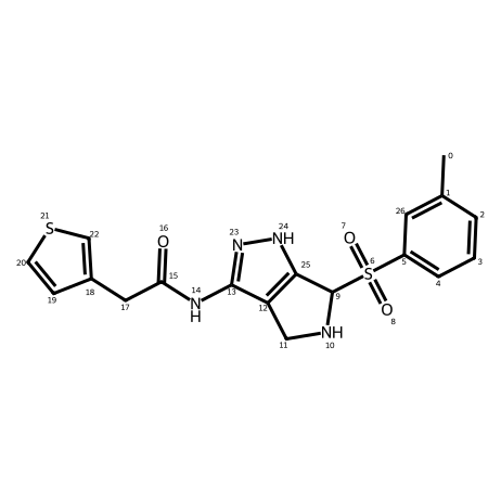 Cc1cccc(S(=O)(=O)C2NCc3c(NC(=O)Cc4ccsc4)n[nH]c32)c1